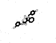 Cc1c(C(=O)C(=O)Nc2cccc(Cl)c2)c2c(n1Cc1ccc(Cl)cc1)CCCCC2